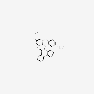 CNc1ccc(Nc2c3c(c(C)c4nc5c6ccccc6c6ccccc6c5nc24)SCCS3)cc1